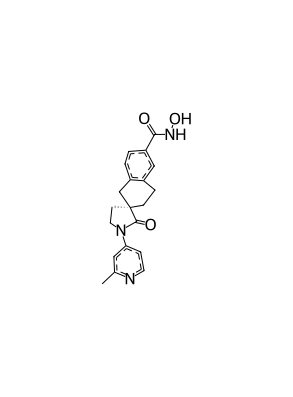 Cc1cc(N2CC[C@]3(CCc4cc(C(=O)NO)ccc4C3)C2=O)ccn1